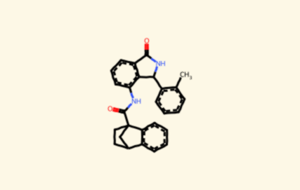 Cc1ccccc1C1NC(=O)c2cccc(NC(=O)C34CCC(C3)c3ccccc34)c21